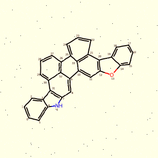 c1ccc2c(c1)[nH]c1cc3c4cc5oc6ccccc6c5c5cccc(c6cccc(c12)c63)c45